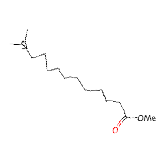 COC(=O)CCCCCCCCCC[Si](C)C